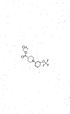 CCOC(=O)C1CCN(c2cccc(OC(F)(F)F)c2)CC1